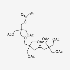 CCCC(=O)OCC(COCC(COCC(COC(C)=O)(COC(C)=O)COC(C)=O)(COC(C)=O)COC(C)=O)(COC(C)=O)COC(C)=O